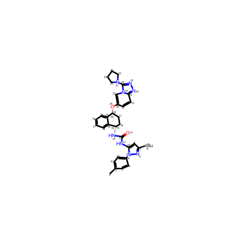 Cc1ccc(-n2nc(C(C)(C)C)cc2NC(=O)N[C@H]2CC[C@@H](Oc3ccc4nnc(N5CCCC5)n4c3)c3ccccc32)cc1